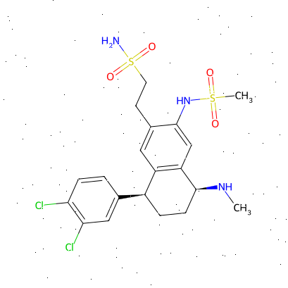 CN[C@H]1CC[C@@H](c2ccc(Cl)c(Cl)c2)c2cc(CCS(N)(=O)=O)c(NS(C)(=O)=O)cc21